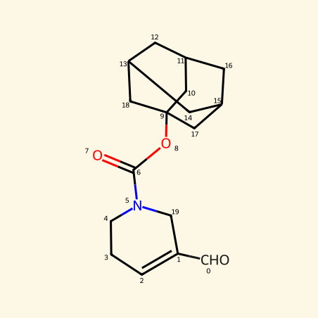 O=CC1=CCCN(C(=O)OC23CC4CC(CC(C4)C2)C3)C1